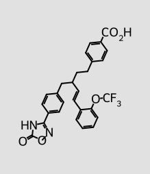 O=C(O)c1ccc(CCC(/C=C/c2ccccc2OC(F)(F)F)Cc2ccc(-c3noc(=O)[nH]3)cc2)cc1